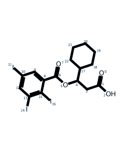 O=C(O)CC(OC(=O)c1cc(I)cc(I)c1I)C1CCCCC1